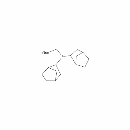 CCCCCCCCCCP(C1CC2CCC1C2)C1CC2CCC1C2